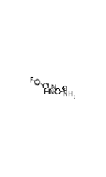 NC(=O)c1ccc2[nH]c(-c3ccc(-c4ccc(F)cc4)cc3)nc2c1